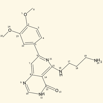 COc1ccc(-c2cc3nc[nH]c(=O)c3c(NCCCN)n2)cc1OC